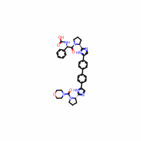 O=C(O)N[C@@H](C(=O)N1CCC[C@H]1c1ncc(-c2ccc(-c3ccc(-c4cnc([C@@H]5CCCN5C(=O)N5CCOCC5)[nH]4)cc3)cc2)[nH]1)c1ccccc1